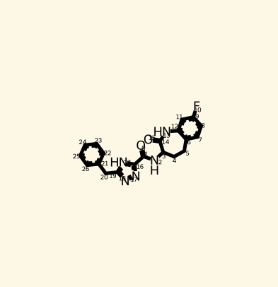 O=C(NC1CCc2ccc(F)cc2NC1=O)c1nnc(Cc2ccccc2)[nH]1